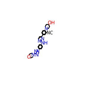 [C-]#[N+]c1cc(-c2ccnc(Nc3ccc(-n4cnc(N5CCOCC5)n4)cc3)n2)ccc1N1CCC(O)CC1